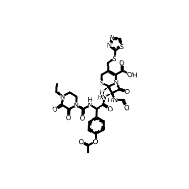 CCN1CCN(C(=O)NC(C(=O)N[C@]2(NC=O)C(=O)N3C(C(=O)O)=C(CSc4nncs4)CS[C@H]32)c2ccc(OC(C)=O)cc2)C(=O)C1=O